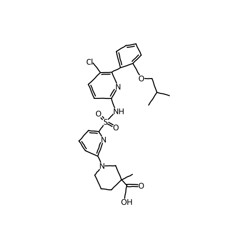 CC(C)COc1ccccc1-c1nc(NS(=O)(=O)c2cccc(N3CCCC(C)(C(=O)O)C3)n2)ccc1Cl